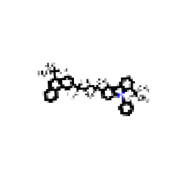 CC(C)(C)c1cc2ccccc2c2cc(C(C)(C)CCC(C)(C)c3ccc4c(c3)c3cccc(C(C)(C)C)c3n4-c3ccccc3)ccc12